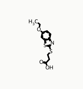 CCOc1ccc2nc(SCCC(=O)O)sc2c1